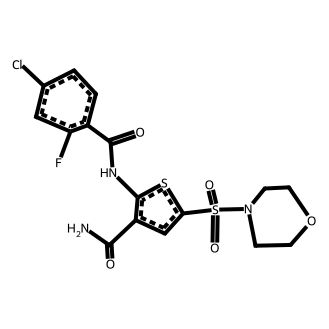 NC(=O)c1cc(S(=O)(=O)N2CCOCC2)sc1NC(=O)c1ccc(Cl)cc1F